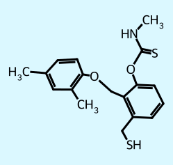 CNC(=S)Oc1cccc(CS)c1COc1ccc(C)cc1C